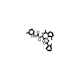 CC1=NC(NC(=O)Nc2cccc(C)c2)C(=O)N(CC(=O)c2ccccc2C)c2c(C)cccc21